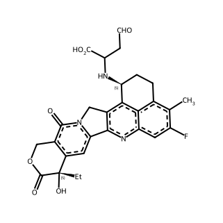 CC[C@@]1(O)C(=O)OCc2c1cc1n(c2=O)Cc2c-1nc1cc(F)c(C)c3c1c2[C@@H](NC(CC=O)C(=O)O)CC3